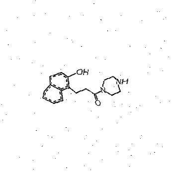 O=C(CCc1c(O)ccc2ccccc12)N1CCNCC1